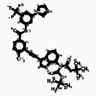 Cc1ccc(C(=O)Nc2cc(-n3ccnc3)cc(C(F)(F)F)c2)cc1C#Cc1cnc2c(N(C(=O)CC(C)(C)C)C(=O)OC(C)(C)C)cccn12